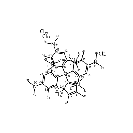 CC1=C(C)[C](C)([Ti+3])C([Si](c2c(N(C)C)cc(N(C)C)c(C)c2C)(c2c(N(C)C)cc(N(C)C)c(C)c2C)c2c(N(C)C)cc(N(C)C)c(C)c2C)=C1C.[Cl-].[Cl-].[Cl-]